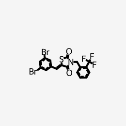 O=C1S/C(=C\c2cc(Br)cc(Br)c2)C(=O)N1Cc1ccccc1C(F)(F)F